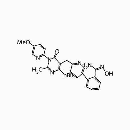 CCCCc1nc(C)n(-c2ccc(OC)cn2)c(=O)c1Cc1ccc(-c2ccccc2/C(N)=N\O)cn1